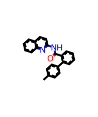 Cc1ccc(-c2ccccc2C(=O)Nc2ccc3ccccc3n2)cc1